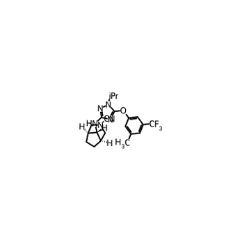 Cc1cc(Oc2nc(N[C@@H]3[C@@H]4CC[C@H]3CN(C#N)C4)nn2C(C)C)cc(C(F)(F)F)c1